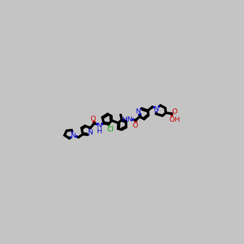 Cc1c(NC(=O)c2ccc(CN3CCC(C(=O)O)CC3)cn2)cccc1-c1cccc(NC(=O)c2ccc(CN3CCCC3)cn2)c1Cl